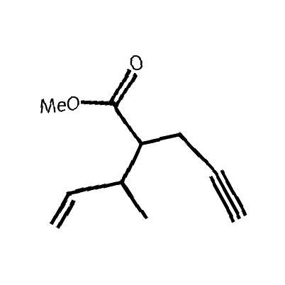 C#CCC(C(=O)OC)C(C)C=C